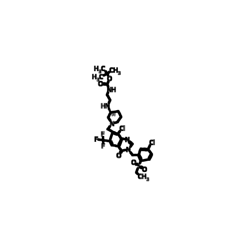 CCS(=O)(=O)c1ccc(Cl)cc1Cn1cnc2c(Cl)c(CN3CCC[C@H](NCCNC(=O)OC(C)(C)C)C3)c(C(F)(F)F)cc2c1=O